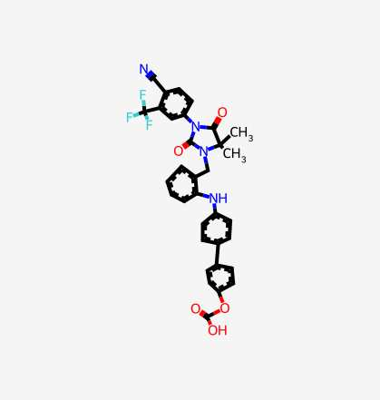 CC1(C)C(=O)N(c2ccc(C#N)c(C(F)(F)F)c2)C(=O)N1Cc1ccccc1Nc1ccc(-c2ccc(OC(=O)O)cc2)cc1